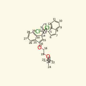 C[CH]=[Zr]([Cl])([Cl])([CH]1C=Cc2ccccc21)[CH]1C=C(OCCO[Si](C)(C)C)c2ccccc21